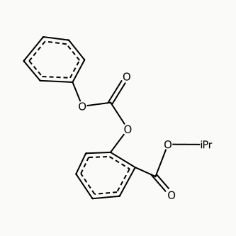 CC(C)OC(=O)c1ccccc1OC(=O)Oc1ccccc1